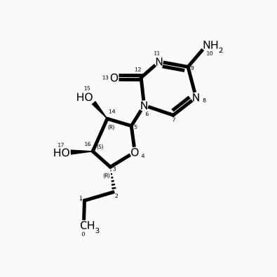 C[CH]C[C@H]1OC(n2cnc(N)nc2=O)[C@H](O)[C@@H]1O